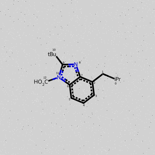 CC(C)Cc1cccc2c1nc(C(C)(C)C)n2C(=O)O